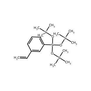 C=Cc1cccc([Si](O[Si](C)(C)C)(O[Si](C)(C)C)O[Si](C)(C)C)c1